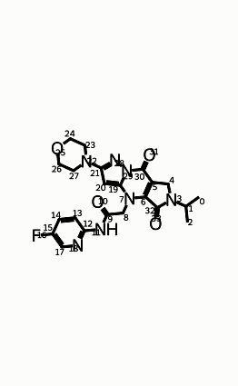 CC(C)N1Cc2c(n(CC(=O)Nc3ccc(F)cn3)c3cc(N4CCOCC4)nn3c2=O)C1=O